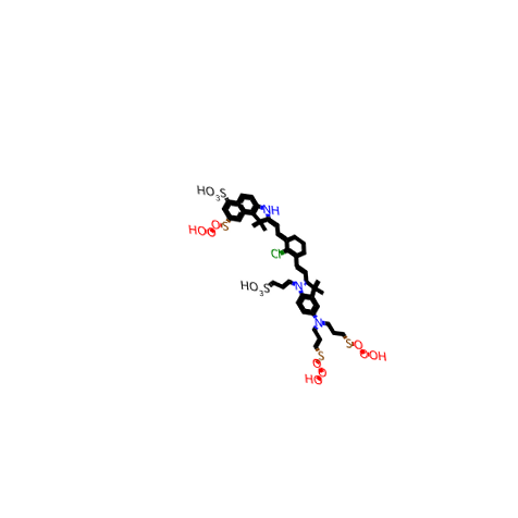 CC1(C)C(/C=C/C2=C(Cl)C(=C/C=C3/Nc4ccc5c(S(=O)(=O)O)cc(SOOO)cc5c4C3(C)C)/CCC2)=[N+](CCCS(=O)(=O)O)c2ccc(N(CCCSOOO)CCCSOOO)cc21